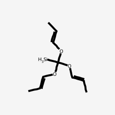 CC=COC([SiH3])(OC=CC)OC=CC